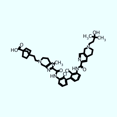 Cn1c(C(=O)Nc2cccc(-c3cccc(NC(=O)c4cc5c(cn4)CN(CCC(C)(C)O)CC5)c3Cl)c2Cl)nc2c1CCN(CCC13CCC(C(=O)O)(CC1)C3)C2